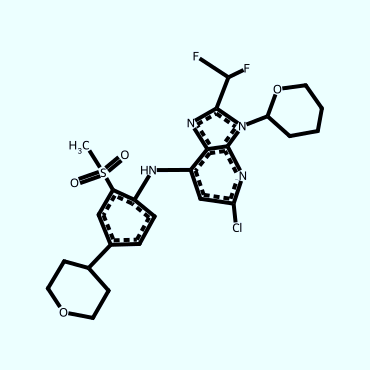 CS(=O)(=O)c1cc(C2CCOCC2)ccc1Nc1cc(Cl)nc2c1nc(C(F)F)n2C1CCCCO1